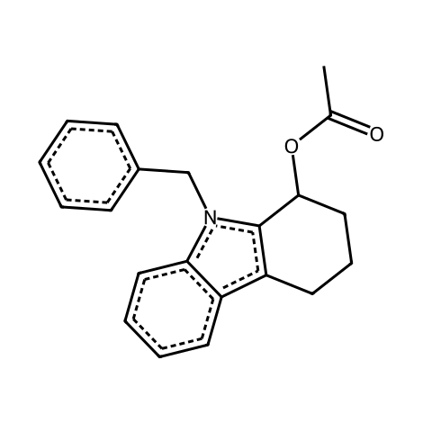 CC(=O)OC1CCCc2c1n(Cc1ccccc1)c1ccccc21